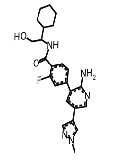 Cn1cc(-c2cnc(N)c(-c3ccc(C(=O)NC(CO)C4CCCCC4)c(F)c3)c2)cn1